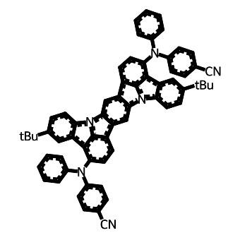 CC(C)(C)c1ccc2c(c1)c1c(N(c3ccccc3)c3ccc(C#N)cc3)ccc3c4cc5c(cc4n2c31)c1ccc(N(c2ccccc2)c2ccc(C#N)cc2)c2c3cc(C(C)(C)C)ccc3n5c12